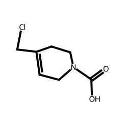 O=C(O)N1CC=C(CCl)CC1